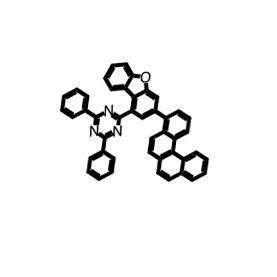 c1ccc(-c2nc(-c3ccccc3)nc(-c3cc(-c4cccc5c4ccc4ccc6ccccc6c45)cc4oc5ccccc5c34)n2)cc1